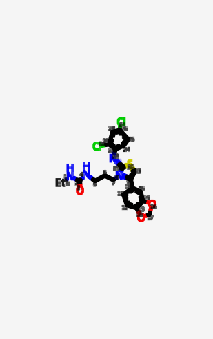 CCNC(=O)NCCCn1c(-c2ccc3c(c2)OCO3)cs/c1=N\c1ccc(Cl)cc1Cl